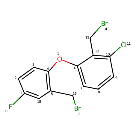 Fc1ccc(Oc2cccc(Cl)c2CBr)c(CBr)c1